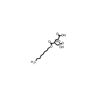 CCCCCCCCOC(=O)C(CCC(=O)O)CP(=O)(O)O